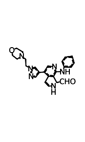 O=CC1NC=Cc2c(-c3cnn(CCN4CCOCC4)c3)cnc(Nc3ccccc3)c21